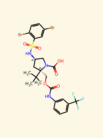 CC(C)(C)[C@@]1(COC(=O)Nc2cccc(C(F)(F)F)c2)C[C@@H](NS(=O)(=O)c2cc(Br)ccc2Br)CN1C(=O)O